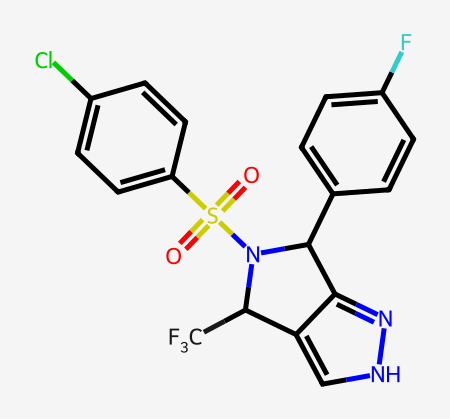 O=S(=O)(c1ccc(Cl)cc1)N1C(c2ccc(F)cc2)c2n[nH]cc2C1C(F)(F)F